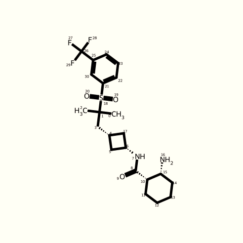 CC(C)(C[C@H]1C[C@@H](NC(=O)[C@H]2CCCC[C@H]2N)C1)S(=O)(=O)c1cccc(C(F)(F)F)c1